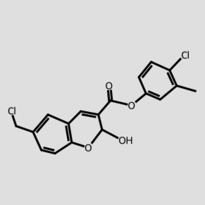 Cc1cc(OC(=O)C2=Cc3cc(CCl)ccc3OC2O)ccc1Cl